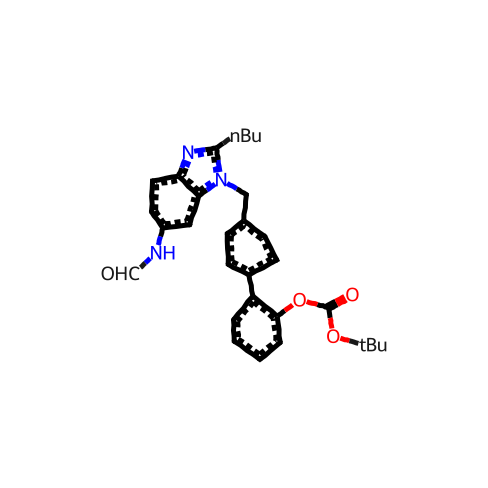 CCCCc1nc2ccc(NC=O)cc2n1Cc1ccc(-c2ccccc2OC(=O)OC(C)(C)C)cc1